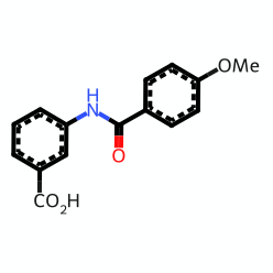 COc1ccc(C(=O)Nc2cccc(C(=O)O)c2)cc1